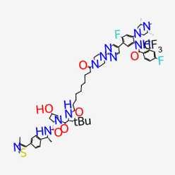 Cc1ncsc1-c1ccc([C@H](C)NC(=O)[C@@H]2C[C@@H](O)CN2C(=O)[C@@H](NC(=O)CCCCCCCCC(=O)N2CCN(c3ncc(-c4cc(NC(=O)c5ccc(F)cc5C(F)(F)F)c(N5C[C@@H](C)N(C)[C@@H](C)C5)cc4F)cn3)CC2)C(C)(C)C)cc1